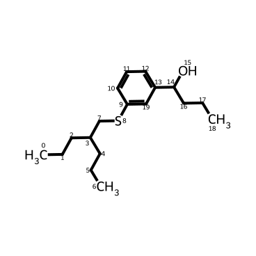 CCCC(CCC)CSc1cccc(C(O)CCC)c1